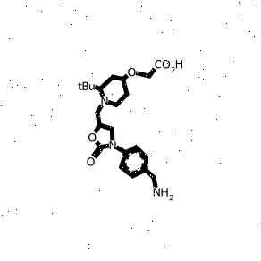 CC(C)(C)C1CC(OCC(=O)O)CCN1CC1CN(c2ccc(CN)cc2)C(=O)O1